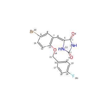 O=C1NC(=O)C(=Cc2cc(Br)ccc2OCc2ccc(F)cc2)N1